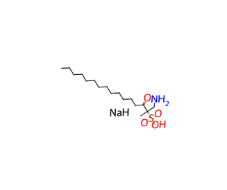 CCCCCCCCCCCCCC(=O)C(C)(CN)S(=O)(=O)O.[NaH]